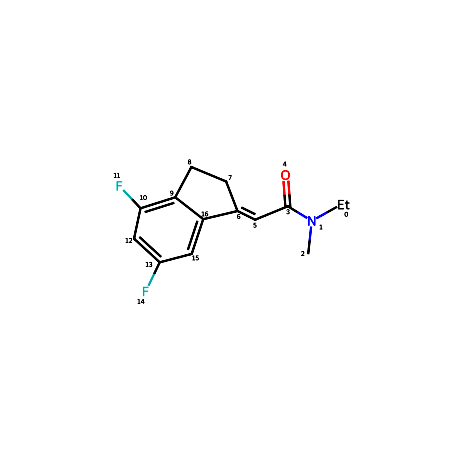 CCN(C)C(=O)C=C1CCc2c(F)cc(F)cc21